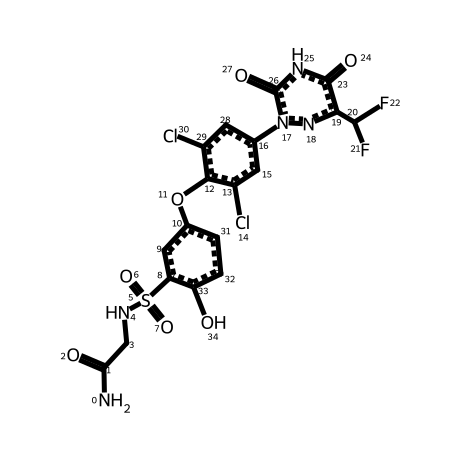 NC(=O)CNS(=O)(=O)c1cc(Oc2c(Cl)cc(-n3nc(C(F)F)c(=O)[nH]c3=O)cc2Cl)ccc1O